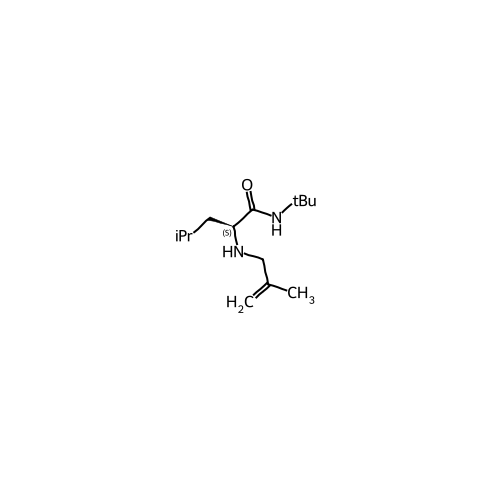 C=C(C)CN[C@@H](CC(C)C)C(=O)NC(C)(C)C